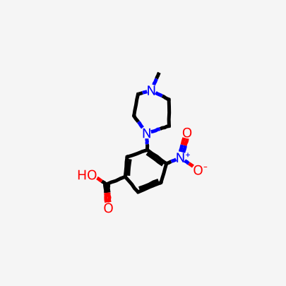 CN1CCN(c2cc(C(=O)O)ccc2[N+](=O)[O-])CC1